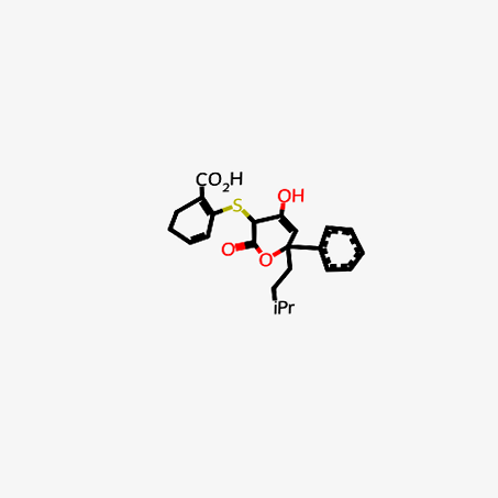 CC(C)CCC1(c2ccccc2)C=C(O)C(SC2=C(C(=O)O)CCC=C2)C(=O)O1